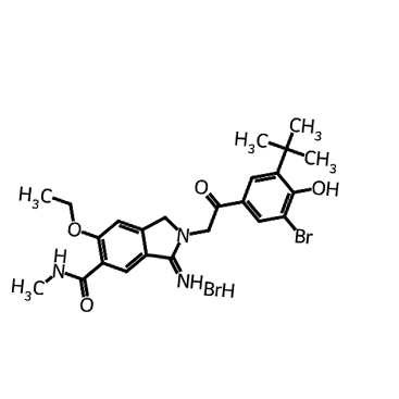 Br.CCOc1cc2c(cc1C(=O)NC)C(=N)N(CC(=O)c1cc(Br)c(O)c(C(C)(C)C)c1)C2